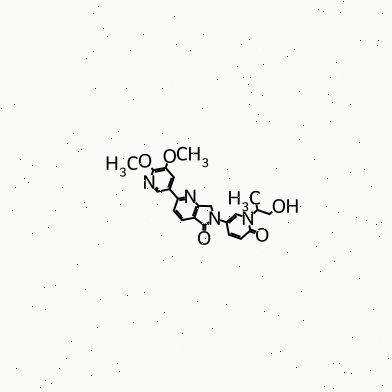 COc1cc(-c2ccc3c(n2)CN(c2ccc(=O)n(C(C)CO)c2)C3=O)cnc1OC